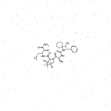 CC(C)(C)[C@H](NC(=O)NC1(C(O)Cc2ccccc2)CCCCC1)C(=O)N1C[C@H]2[C@@H]([C@H]1C(=O)NC(CC1CC1)C(=O)C(N)=O)C2(C)C